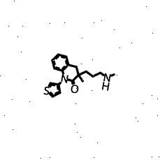 CNCCCC1(C)Cc2ccccc2N(c2ccsc2)C1=O